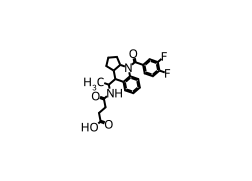 CC(NC(=O)CCC(=O)O)C1c2ccccc2N(C(=O)c2ccc(F)c(F)c2)C2CCCC12